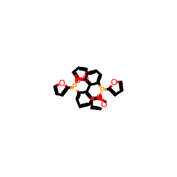 COc1cccc(P(c2ccco2)c2ccco2)c1-c1c(OC)cccc1P(c1ccco1)c1ccco1